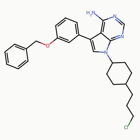 Nc1ncnc2c1c(-c1cccc(OCc3ccccc3)c1)cn2C1CCC(CC[CH]Cl)CC1